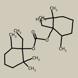 CCC1(OC(=O)OC2(CC)C(C)CCCC2(C)C)C(C)CCCC1(C)C